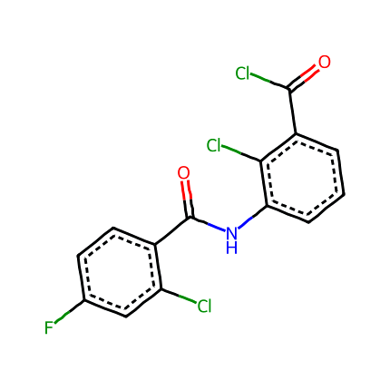 O=C(Nc1cccc(C(=O)Cl)c1Cl)c1ccc(F)cc1Cl